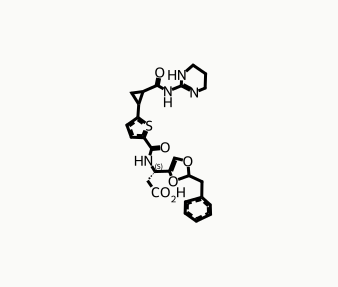 O=C(O)C[C@H](NC(=O)c1ccc(C2CC2C(=O)NC2=NCCCN2)s1)C1=COC(Cc2ccccc2)O1